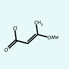 COC(C)=CC(=O)Cl